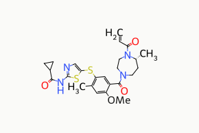 C=CC(=O)N1CCN(C(=O)c2cc(Sc3cnc(NC(=O)C4CC4)s3)c(C)cc2OC)CC[C@H]1C